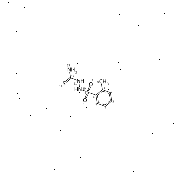 Cc1ccccc1S(=O)(=O)NNC(N)=S